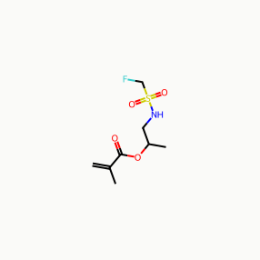 C=C(C)C(=O)OC(C)CNS(=O)(=O)CF